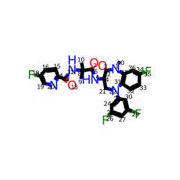 CN1C(=O)C(NC(=O)C(C)(C)NC(=O)c2ccc(F)cn2)CN(c2cc(F)cc(F)c2)c2ccc(F)cc21